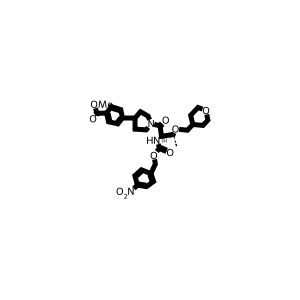 COC(=O)c1ccc(C2CCN(C(=O)[C@@H](NC(=O)OCc3ccc([N+](=O)[O-])cc3)[C@@H](C)OCC3CCOCC3)CC2)cc1